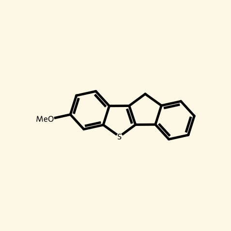 COc1ccc2c3c(sc2c1)-c1ccccc1C3